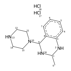 CC1Nc2ccccc2C(N2CCNCC2)N1.Cl.Cl